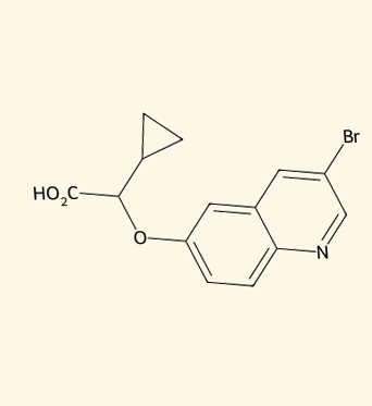 O=C(O)C(Oc1ccc2ncc(Br)cc2c1)C1CC1